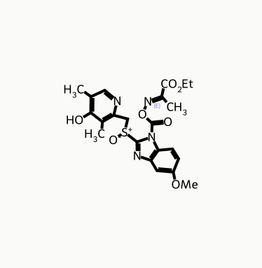 CCOC(=O)/C(C)=N/OC(=O)n1c([S+]([O-])Cc2ncc(C)c(O)c2C)nc2cc(OC)ccc21